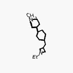 CCN1CC(CC2CCC(C3CCN(C)CC3)CC2)C1